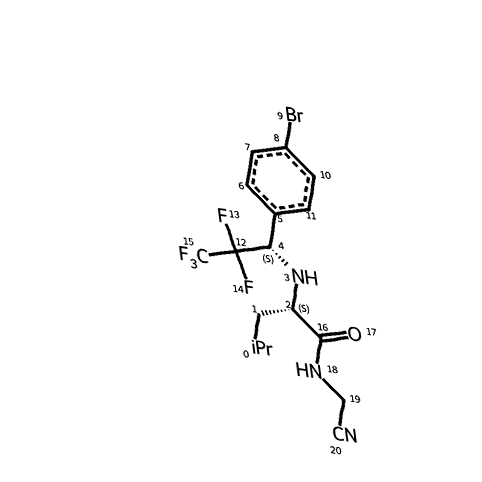 CC(C)C[C@H](N[C@@H](c1ccc(Br)cc1)C(F)(F)C(F)(F)F)C(=O)NCC#N